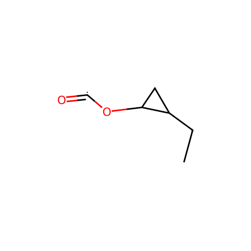 CCC1CC1O[C]=O